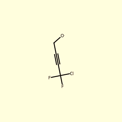 [O]CC#CC(F)(F)Cl